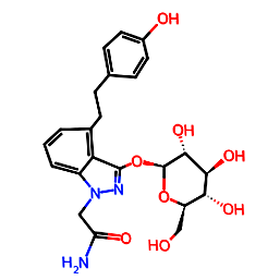 NC(=O)Cn1nc(O[C@@H]2O[C@H](CO)[C@@H](O)[C@H](O)[C@H]2O)c2c(CCc3ccc(O)cc3)cccc21